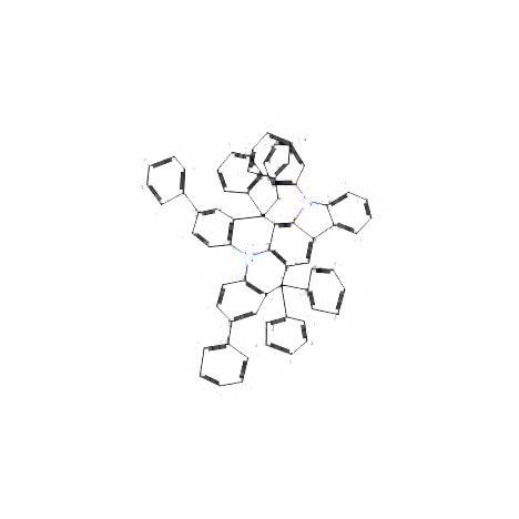 c1ccc(CC2(c3ccccc3)c3cc(-c4ccccc4)ccc3N3c4ccc(-c5ccccc5)cc4C(c4ccccc4)(c4ccccc4)c4cc5c6ccccc6n(-c6ccccc6)c5c2c43)cc1